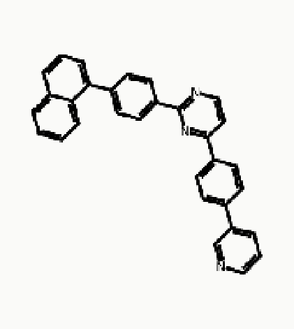 c1cncc(-c2ccc(-c3ccnc(-c4ccc(-c5cccc6ccccc56)cc4)n3)cc2)c1